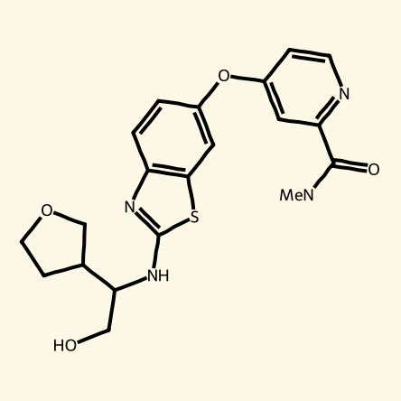 CNC(=O)c1cc(Oc2ccc3nc(NC(CO)C4CCOC4)sc3c2)ccn1